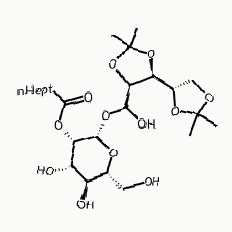 CCCCCCCC(=O)O[C@@H]1[C@H](OC(O)[C@H]2OC(C)(C)O[C@H]2[C@@H]2COC(C)(C)O2)O[C@H](CO)[C@@H](O)[C@@H]1O